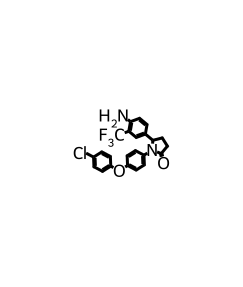 Nc1ccc(C2CCC(=O)N2c2ccc(Oc3ccc(Cl)cc3)cc2)cc1C(F)(F)F